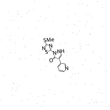 CSc1nsc(-n2[nH]cc(-c3cccnc3)c2=O)n1